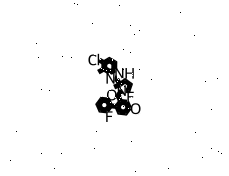 COc1ccc(-c2ccccc2F)c(C(=O)N2CCCC2(C)c2nc3c(C)c(Cl)ccc3[nH]2)c1F